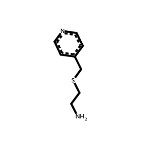 NCCSCc1ccncc1